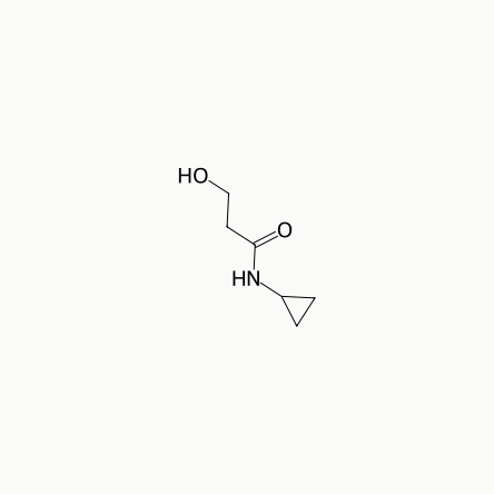 O=C(CCO)NC1CC1